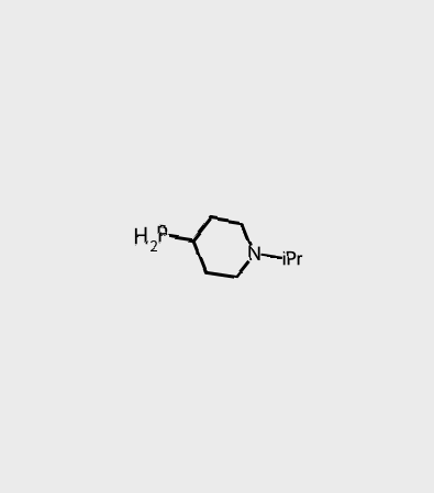 CC(C)N1CCC(P)CC1